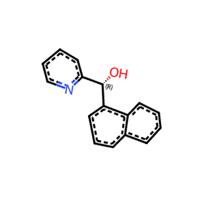 O[C@@H](c1ccccn1)c1cccc2ccccc12